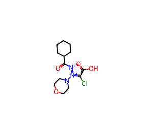 O=C(C1CCCCC1)[n+]1oc(O)c(Cl)[n+]1N1CCOCC1